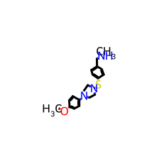 CNCc1ccc(SN2CCN(c3ccc(OC)cc3)CC2)cc1